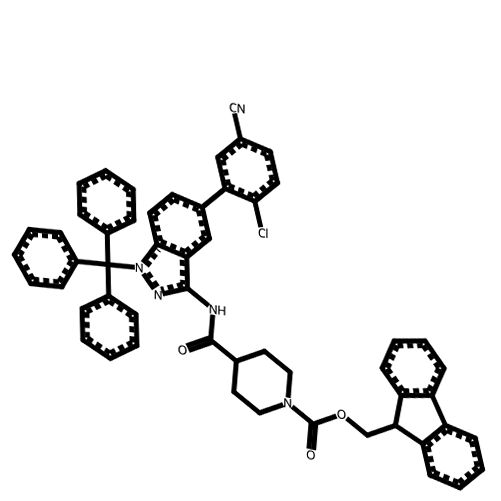 N#Cc1ccc(Cl)c(-c2ccc3c(c2)c(NC(=O)C2CCN(C(=O)OCC4c5ccccc5-c5ccccc54)CC2)nn3C(c2ccccc2)(c2ccccc2)c2ccccc2)c1